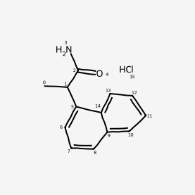 CC(C(N)=O)c1cccc2ccccc12.Cl